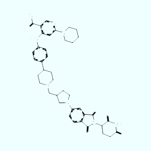 NC(=O)c1cnc(N2CCCCC2)cc1Nc1ccc(C2CCN(CC3CCN(c4ccc5c(c4)C(=O)N(C4CCC(=O)NC4=O)C5=O)C3)CC2)cc1